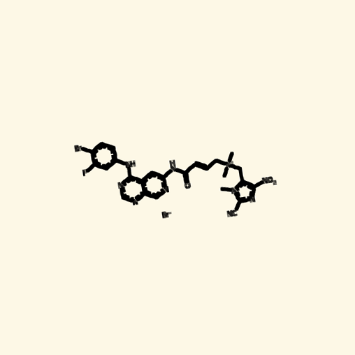 Cn1c(C#N)nc([N+](=O)[O-])c1C[N+](C)(C)C/C=C/C(=O)Nc1cc2c(Nc3ccc(Br)c(F)c3)ncnc2cn1.[Br-]